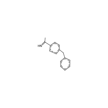 CC(=N)c1ccc(Cc2ccccc2)cc1